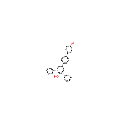 Oc1ccc(-c2ccc(-c3cc(-c4ccccc4)c(O)c(-c4ccccc4)c3)cc2)cc1